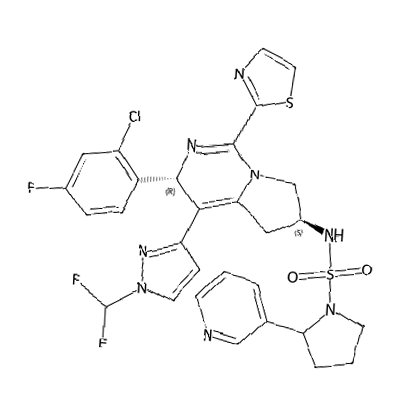 O=S(=O)(N[C@H]1CC2=C(c3ccn(C(F)F)n3)[C@H](c3ccc(F)cc3Cl)N=C(c3nccs3)N2C1)N1CCCC1c1cccnc1